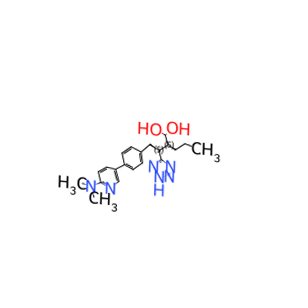 CCC[C@H](C(O)O)[C@H](Cc1ccc(-c2ccc(N(C)C)nc2)cc1)c1nn[nH]n1